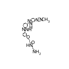 CN1CCN(c2ccc3nc(C4=Cc5[nH]c(-c6cccc(OCCCC(=O)NCCCN)c6)nc5CC=C4)[nH]c3c2)CC1